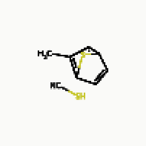 Cc1cc2ccc1s2.N#CS